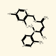 C=C(/C=C(/C)N(C)c1ccncc1C)OCc1ncc(F)cc1F